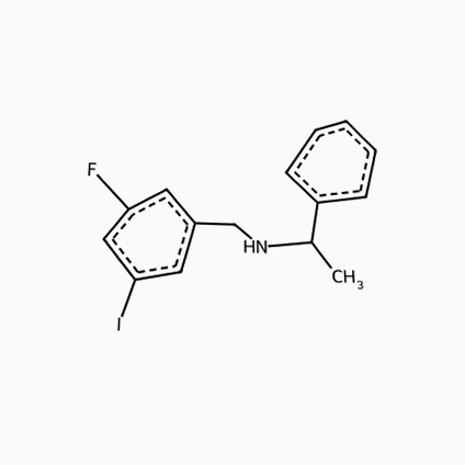 CC(NCc1cc(F)cc(I)c1)c1ccccc1